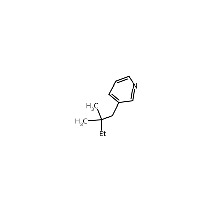 CCC(C)(C)Cc1cccnc1